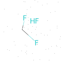 F.FCF